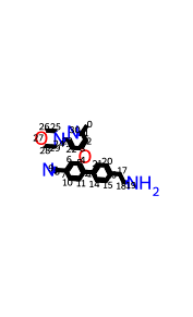 Cc1cc(Oc2cc(C#N)ccc2-c2ccc(CCN)cc2)cc(N2CCOCC2)n1